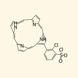 O=S(=O)(Cl)c1cccc(-c2cc3cc4nc(cc5ccc(cc6nc(cc2[nH]3)C=C6)[nH]5)C=C4)c1Cl